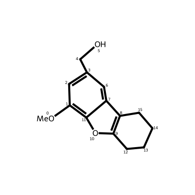 COc1cc(CO)cc2c3c(oc12)CCCC3